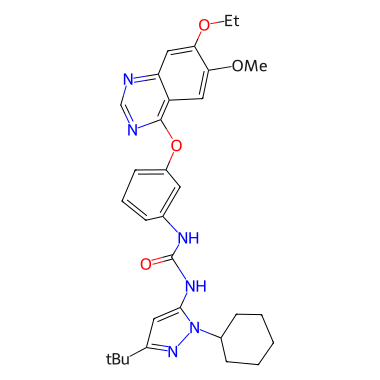 CCOc1cc2ncnc(Oc3cccc(NC(=O)Nc4cc(C(C)(C)C)nn4C4CCCCC4)c3)c2cc1OC